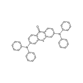 O=c1c2ccc(N(c3ccccc3)c3ccccc3)cc2sc2cc(N(c3ccccc3)c3ccccc3)ccc12